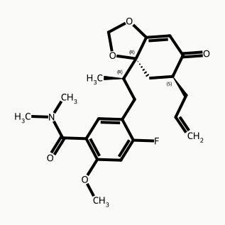 C=CC[C@H]1C[C@]2([C@H](C)Cc3cc(C(=O)N(C)C)c(OC)cc3F)OCOC2=CC1=O